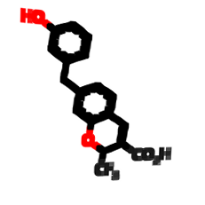 O=C(O)C1=Cc2ccc(Cc3cccc(O)c3)cc2OC1C(F)(F)F